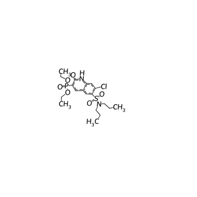 CCCN(CCC)S(=O)(=O)c1cc2cc(P(=O)(OCC)OCC)c(=O)[nH]c2cc1Cl